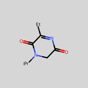 CCC1=NC(=O)CN(C(C)C)C1=O